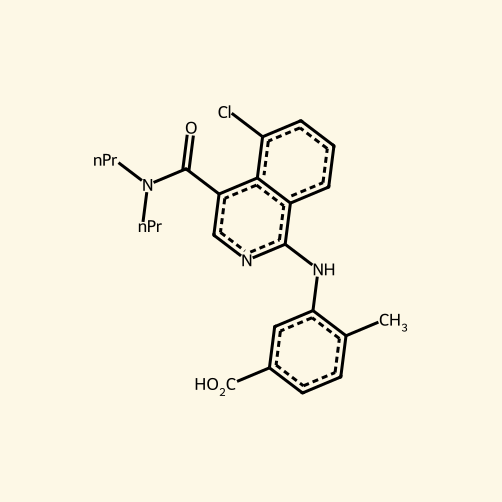 CCCN(CCC)C(=O)c1cnc(Nc2cc(C(=O)O)ccc2C)c2cccc(Cl)c12